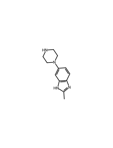 Cc1nc2ccc(N3CCNCC3)cc2[nH]1